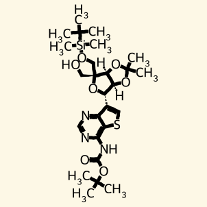 CC(C)(C)OC(=O)Nc1ncnc2c([C@@H]3O[C@](CO)(CO[Si](C)(C)C(C)(C)C)[C@H]4OC(C)(C)O[C@@H]34)csc12